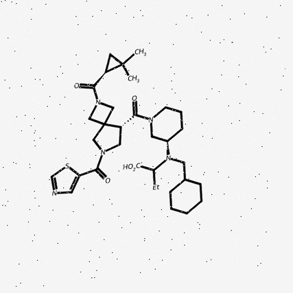 CCC(C(=O)O)N(CC1CCCCC1)[C@@H]1CCCN(C(=O)[C@@H]2CN(C(=O)c3cncs3)CC23CN(C(=O)[C@H]2CC2(C)C)C3)C1